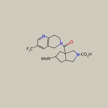 CNC1CC2CN(C(=O)O)CC2(C(=O)N2CCc3ncc(C(F)(F)F)cc3C2)C1